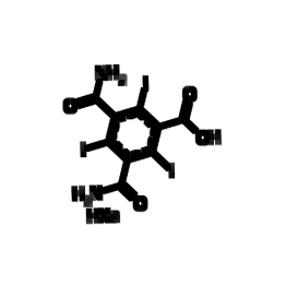 NC(=O)c1c(I)c(C(N)=O)c(I)c(C(=O)O)c1I.[NaH]